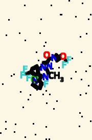 C[C@@H]1N=C(c2ncccc2F)c2c(ccc(C(F)(F)F)c2Cl)-n2cc(C(=O)N3CC(OC(F)F)C3)nc21